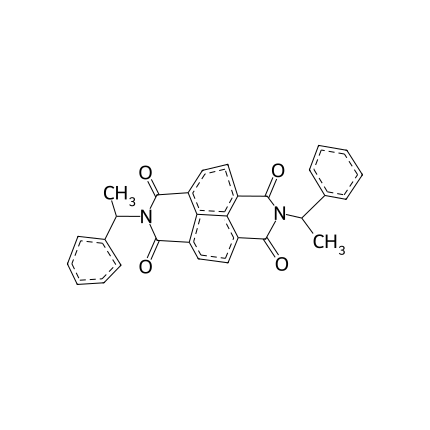 CC(c1ccccc1)N1C(=O)c2ccc3c4c(ccc(c24)C1=O)C(=O)N(C(C)c1ccccc1)C3=O